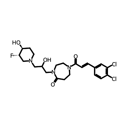 O=C(/C=C/c1ccc(Cl)c(Cl)c1)N1CCC(=O)N(CC(O)CN2CC[C@H](O)[C@@H](F)C2)CC1